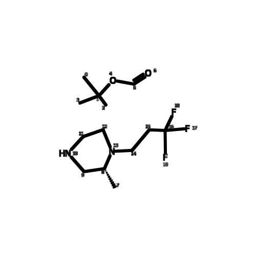 CC(C)(C)OC=O.C[C@@H]1CNCCN1CCC(F)(F)F